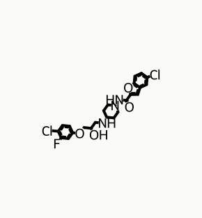 O=C(NN1CCC(NCC(O)COc2ccc(Cl)c(F)c2)CC1)c1cc2cc(Cl)ccc2o1